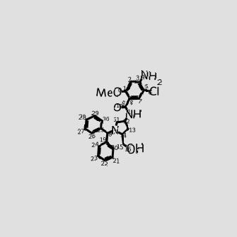 COc1cc(N)c(Cl)cc1C(=O)NC1CC(CO)N(C(c2ccccc2)c2ccccc2)C1